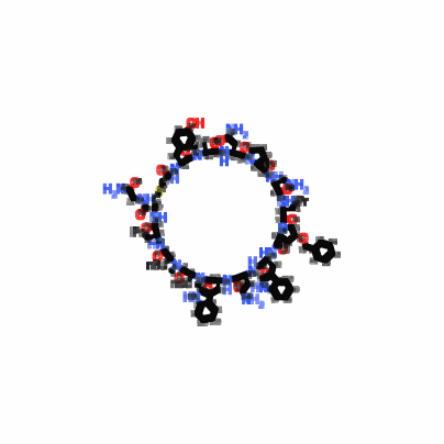 CCCC[C@H]1C(=O)N(C)[C@@H](CCCC)C(=O)N[C@@H](CC(C)C)C(=O)N[C@H](C(=O)NCC(N)=O)CSCC(=O)N[C@@H](Cc2ccc(O)cc2)C(=O)N(C)[C@@H](C)C(=O)N[C@@H](CC(N)=O)C(=O)N2CCC[C@H]2C(=O)N[C@@H](CN)C(=O)N[C@@H](CC(C)C)C(=O)N2C[C@H](OCc3ccccc3)C[C@H]2C(=O)N[C@@H](Cc2c[nH]c3ccccc23)C(=O)N[C@@H](CCN)C(=O)N[C@@H](Cc2c[nH]c3ccccc23)C(=O)N1C